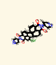 O=C1c2ccc3c4ccc5c6c(cc(Br)c(c7ccc(c2c37)C(=O)N1c1ccncc1)c64)C(=O)N(c1ccncc1)C5=O